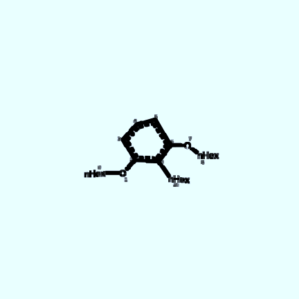 CCCCCCOc1cccc(OCCCCCC)c1CCCCCC